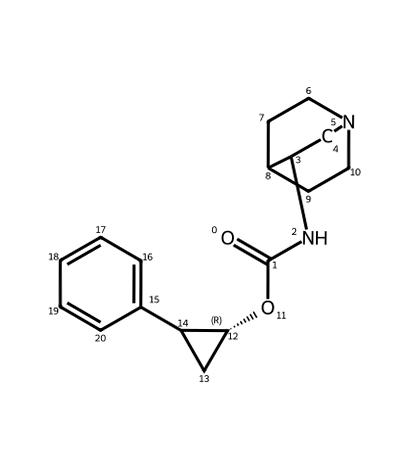 O=C(NC1CN2CCC1CC2)O[C@@H]1CC1c1ccccc1